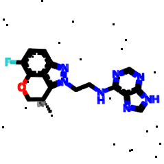 C[C@@H]1COc2c(F)ccc3nn(CCNc4ncnc5[nH]cnc45)c1c23